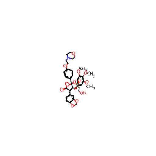 COc1cc(CC2=C(c3ccc4c(c3)OCO4)C(=O)OC2(OS(=O)(=O)CCO)c2ccc(OCCN3CCOCC3)cc2)cc(OC)c1OC